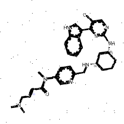 CN(C)C/C=C/C(=O)N(C)c1ccc(CN[C@H]2CCC[C@@H](Nc3ncc(Cl)c(-c4c[nH]c5ccccc45)n3)C2)nc1